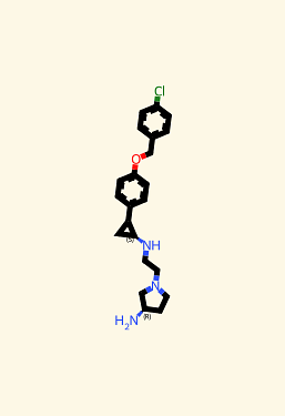 N[C@@H]1CCN(CCN[C@H]2CC2c2ccc(OCc3ccc(Cl)cc3)cc2)C1